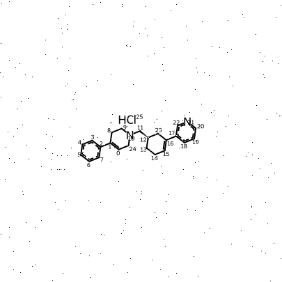 C1=C(c2ccccc2)CCN(C[C@@H]2CCC=C(c3cccnc3)C2)C1.Cl